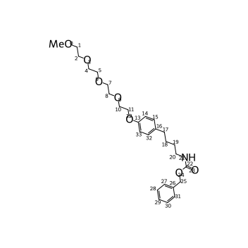 COCCOCCOCCOCCOc1ccc(CCCCNC(=O)OCc2ccccc2)cc1